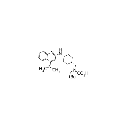 CN(C)c1cc(N[C@H]2CC[C@@H](CN(CC(C)(C)C)C(=O)O)CC2)nc2ccccc12